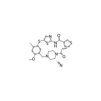 C=CC(=O)N1CCN(Cc2cc(Sc3cnc(NC(=O)c4ccsc4)s3)c(C)cc2OC)C[C@H]1C#N